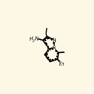 CCc1ccc2c(N)c(C)nn2c1C